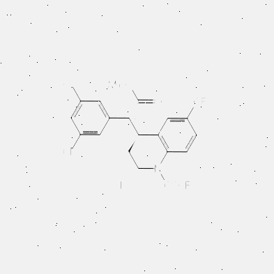 CCOC(=O)N1c2ccc(C(F)(F)F)cc2[C@H]([C@@H](C(=O)OC)c2cc(Cl)cc(Cl)c2)C[C@H]1CC